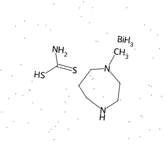 CN1CCCNCC1.NC(=S)S.[BiH3]